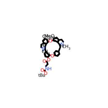 COc1cc2c3cc1Oc1c(OC)c(C)cc4c1[C@@H](Cc1ccc(OC(=O)CCNC(=O)OC(C)(C)C)c(c1)Oc1ccc(cc1)C[C@@H]3N(C)CC2)N(C)CC4